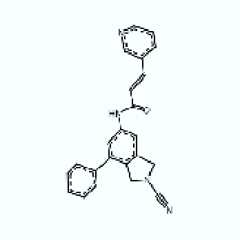 N#CN1Cc2cc(NC(=O)C=Cc3cccnc3)cc(-c3ccccc3)c2C1